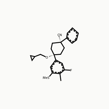 CSc1cc([C@]2(OCC3CC3)CC[C@](C#N)(c3ccccc3)CC2)cc(F)c1C